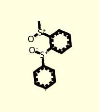 C[S+]([O-])c1ccccc1[S+]([O-])c1cc[c]cc1